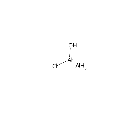 [AlH3].[OH][Al][Cl]